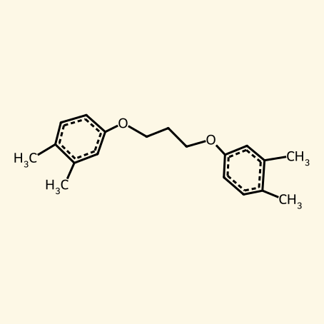 Cc1ccc(OCCCOc2ccc(C)c(C)c2)cc1C